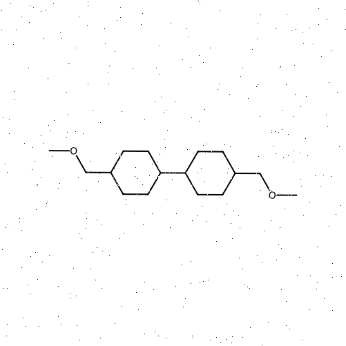 COCC1CCC(C2CCC(COC)CC2)CC1